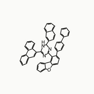 c1ccc(-c2ccc(-c3ccc4oc5ccccc5c4c3C3=NC(c4ccc5ccccc5c4)NC(c4cc5ccccc5c5ccccc45)=N3)cc2)cc1